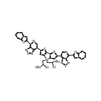 CCCCC(CC)C[Si]1(CC(CC)CCCC)c2cc(-c3cnc(-c4cc5ccccc5o4)c4nsnc34)sc2-c2sc(-c3cnc(-c4cc5ccccc5o4)c4nsnc34)cc21